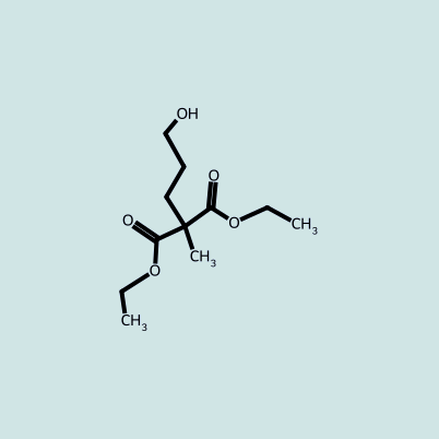 CCOC(=O)C(C)(CCCO)C(=O)OCC